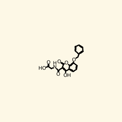 O=C(O)CNC(=O)c1c(O)c2cccc(OCc3ccccc3)c2oc1=O